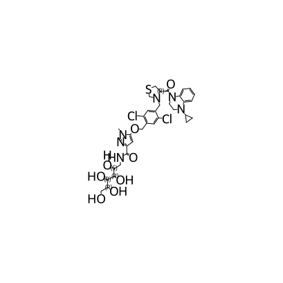 Cn1nc(C(=O)NC[C@H](O)[C@@H](O)[C@H](O)[C@H](O)CO)cc1OCc1cc(Cl)c(CN2CSC[C@H]2C(=O)N2CCN(C3CC3)c3ccccc32)cc1Cl